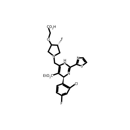 CCOC(=O)C1=C(CN2CC(OCC(=O)O)[C@H](F)C2)NC(c2nccs2)=N[C@H]1c1ccc(F)cc1Cl